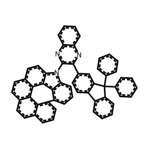 c1ccc(C2(c3ccccc3)c3ccccc3-c3ccc(-c4nc5ccccc5nc4-n4c5cccc6c5c5c7c(ccc8ccc9cccc-6c9c87)ccc54)cc32)cc1